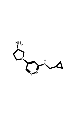 N[C@@H]1CCN(c2cnnc(NCC3CC3)c2)C1